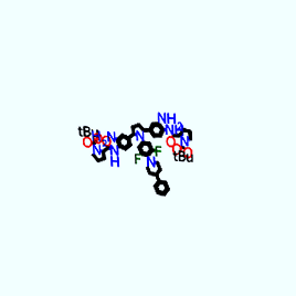 CC(C)(C)OC(=O)N1CCCC1C(=O)Nc1ccc(C2CCC(c3ccc(NC(=O)C4CCCN4C(=O)OC(C)(C)C)c(N)c3)N2c2cc(F)c(N3CCC(c4ccccc4)CC3)c(F)c2)cc1N